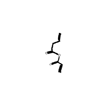 C=CCC(=O)OC(=O)C=C